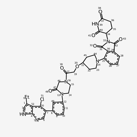 CCc1c[nH]c2ncc(-c3cccc(N4CCN(C(=O)COC5CCN(c6cccc7c6C(=O)N(C6CCC(=O)NC6=O)C7=O)CC5)CC4=O)c3)c(Cl)c12